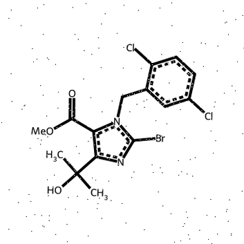 COC(=O)c1c(C(C)(C)O)nc(Br)n1Cc1cc(Cl)ccc1Cl